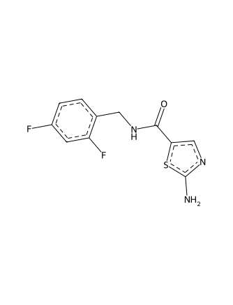 Nc1ncc(C(=O)NCc2ccc(F)cc2F)s1